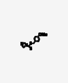 COc1ccc(CSC(=S)n2ccnc2)cc1